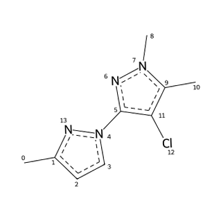 Cc1ccn(-c2nn(C)c(C)c2Cl)n1